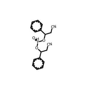 N#CCC(O[PH](=O)OC(CC#N)c1ccccc1)c1ccccc1